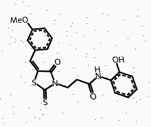 COc1cccc(/C=C2/SC(=S)N(CCC(=O)Nc3ccccc3O)C2=O)c1